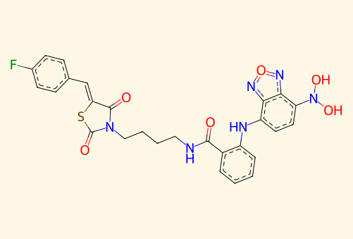 O=C(NCCCCN1C(=O)S/C(=C\c2ccc(F)cc2)C1=O)c1ccccc1Nc1ccc(N(O)O)c2nonc12